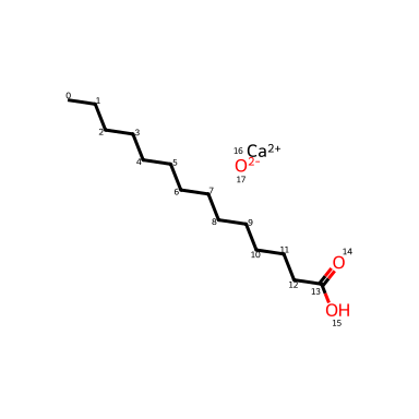 CCCCCCCCCCCCCC(=O)O.[Ca+2].[O-2]